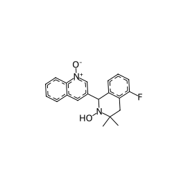 CC1(C)Cc2c(F)cccc2C(c2cc3ccccc3[n+]([O-])c2)N1O